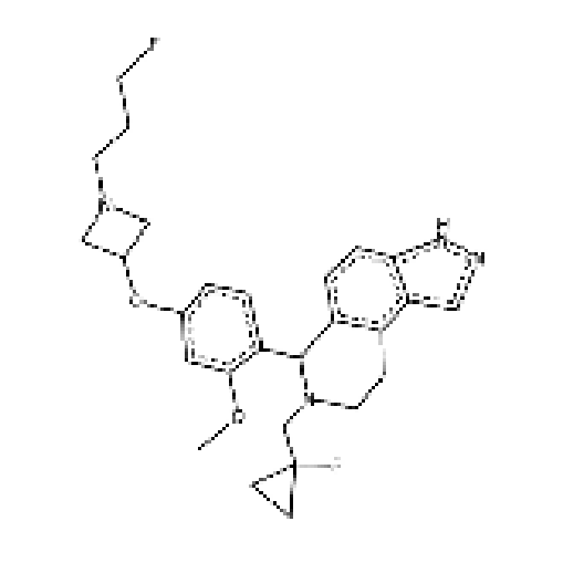 COc1cc(OC2CN(CCCF)C2)ccc1C1c2ccc3[nH]ncc3c2CCN1CC1(F)CC1